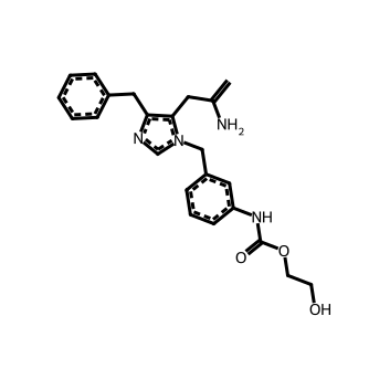 C=C(N)Cc1c(Cc2ccccc2)ncn1Cc1cccc(NC(=O)OCCO)c1